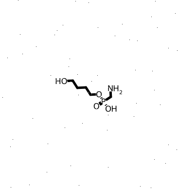 NCP(=O)(O)OCCCCO